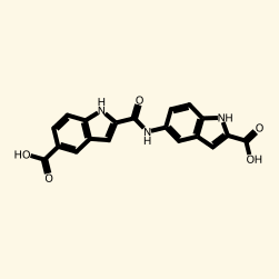 O=C(O)c1ccc2[nH]c(C(=O)Nc3ccc4[nH]c(C(=O)O)cc4c3)cc2c1